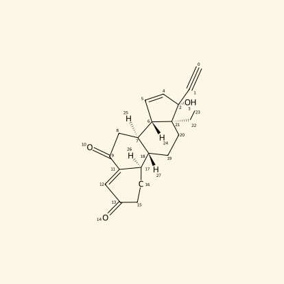 C#C[C@]1(O)C=C[C@H]2[C@@H]3CC(=O)C4=CC(=O)CC[C@@H]4[C@H]3CC[C@@]21CC